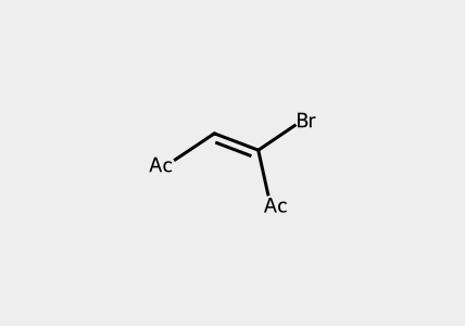 CC(=O)/C=C(/Br)C(C)=O